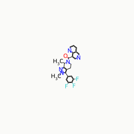 CC1c2nn(C)c(-c3cc(F)c(F)c(F)c3)c2CCN1C(=O)c1cncc2cccnc12